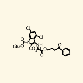 CCOC(=O)c1c(NCC(=O)OCCCC(=O)c2ccccc2)c2c(Cl)cc(Cl)cc2n1C(=O)OC(C)(C)C